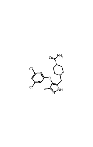 Cc1n[nH]c(CN2CCC(C(N)=O)CC2)c1Oc1cc(Cl)cc(Cl)c1